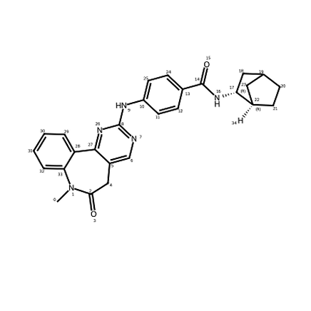 CN1C(=O)Cc2cnc(Nc3ccc(C(=O)N[C@@H]4CC5CC[C@@H]4C5)cc3)nc2-c2ccccc21